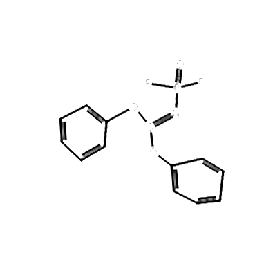 O=P(F)(F)N=S(Oc1ccccc1)Oc1ccccc1